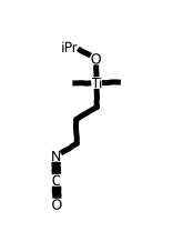 CC(C)[O][Ti]([CH3])([CH3])[CH2]CCN=C=O